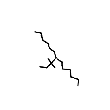 CCCCCCP(CCCCCC)C(C)(C)CC